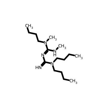 CCCCN(CCCC)C(=N)/N=C(\NC)N(C)CCCC